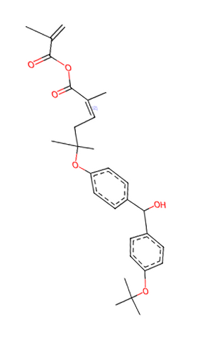 C=C(C)C(=O)OC(=O)/C(C)=C\CC(C)(C)Oc1ccc(C(O)c2ccc(OC(C)(C)C)cc2)cc1